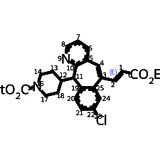 CCOC(=O)/C=C/C1=Cc2cccnc2C(C2CCN(C(=O)OCC)CC2)c2ccc(Cl)cc21